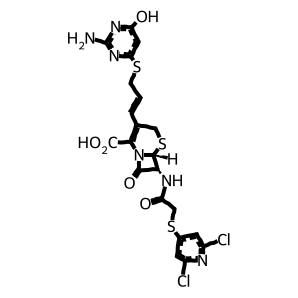 Nc1nc(O)cc(SC/C=C/C2=C(C(=O)O)N3C(=O)[C@@H](NC(=O)CSc4cc(Cl)nc(Cl)c4)[C@H]3SC2)n1